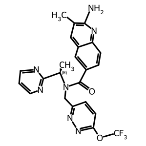 Cc1cc2cc(C(=O)N(Cc3ccc(OC(F)(F)F)nn3)[C@H](C)c3ncccn3)ccc2nc1N